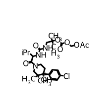 CC(=O)OCOC(=O)OC(C)(C)CNC(=O)NC(C(=O)N1CC[C@](O)(c2ccc(Cl)cc2)C(C)(C)C1)C(C)C